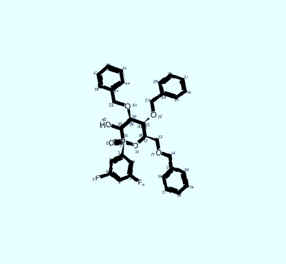 O=[P@@]1(c2cc(F)cc(F)c2)O[C@H](COCc2ccccc2)[C@@H](OCc2ccccc2)[C@H](OCc2ccccc2)C1O